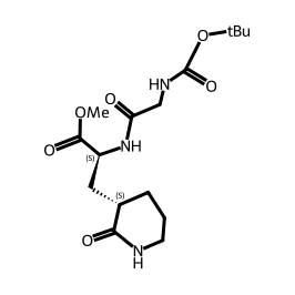 COC(=O)[C@H](C[C@@H]1CCCNC1=O)NC(=O)CNC(=O)OC(C)(C)C